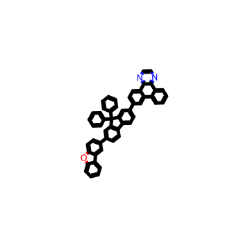 c1ccc(C2(c3ccccc3)c3cc(-c4ccc5oc6ccccc6c5c4)ccc3-c3ccc(-c4ccc5c(c4)c4ccccc4c4nccnc54)cc32)cc1